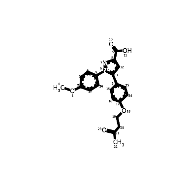 COc1ccc(-n2nc(C(=O)O)cc2-c2ccc(OCCC(C)=O)cc2)cc1